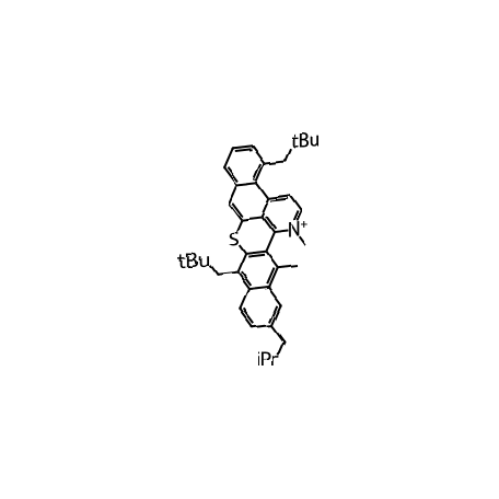 Cc1c2c(c(CC(C)(C)C)c3ccc(CC(C)C)cc13)Sc1cc3cccc(CC(C)(C)C)c3c3cc[n+](C)c-2c13